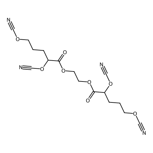 N#COCCCC(OC#N)C(=O)OCCOC(=O)C(CCCOC#N)OC#N